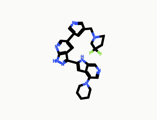 FC1(F)CCN(Cc2cncc(-c3cnc4[nH]nc(-c5cc6c(N7CCCCC7)cncc6[nH]5)c4c3)c2)C1